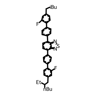 CCCCC(CC)Cc1ccc(-c2ccc(-c3ccc(-c4ccc(-c5ccc(CC(C)CC)cc5F)cc4)c4nsnc34)cc2)c(F)c1